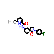 Cc1cccc(C(=O)N[C@@H]2CCC[C@@]3(CCN(c4ccc(F)cc4)C3=O)C2)n1